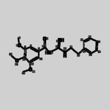 COc1cc(C(=O)NC(=N)NCCc2ccccc2)cc(OC)c1OC